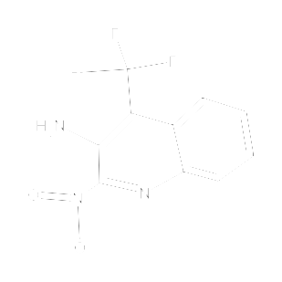 Nc1c([N+](=O)[O-])nc2ccccc2c1C(F)(F)F